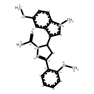 COc1ccc2c(c1)c(C1CC(c3ccccc3OC)=NN1C(N)=S)cn2C